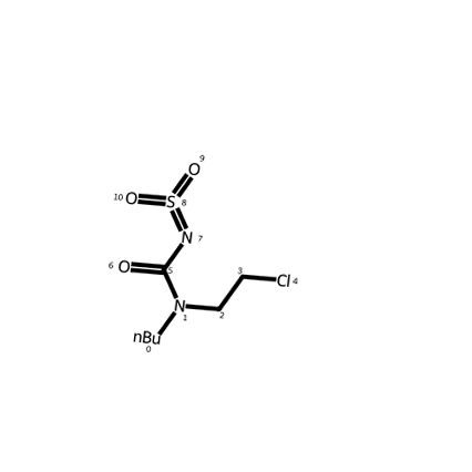 CCCCN(CCCl)C(=O)N=S(=O)=O